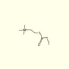 C[N+](C)(C)CCSC(=O)CI